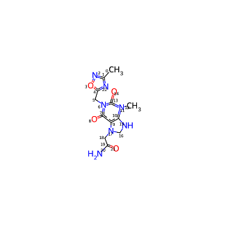 Cc1noc(Cn2c(=O)c3c(n(C)c2=O)NCN3CC(N)=O)n1